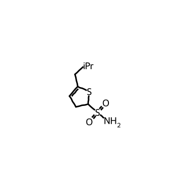 CC(C)CC1=CCC(S(N)(=O)=O)S1